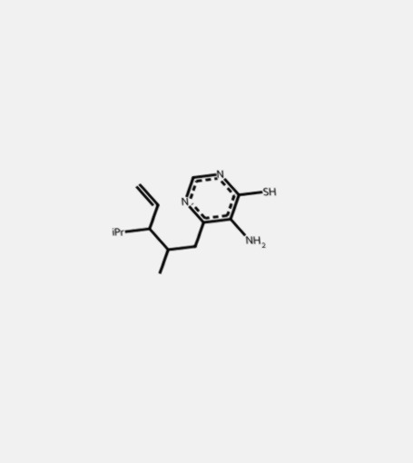 C=CC(C(C)C)C(C)Cc1ncnc(S)c1N